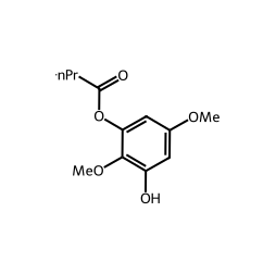 CC[CH]C(=O)Oc1cc(OC)cc(O)c1OC